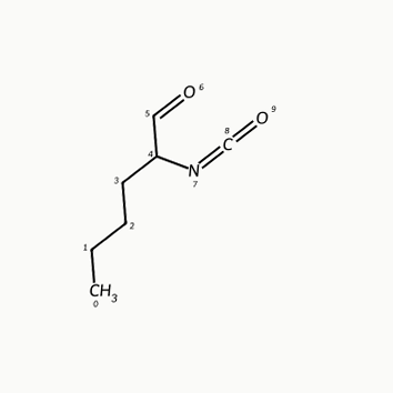 CCCCC(C=O)N=C=O